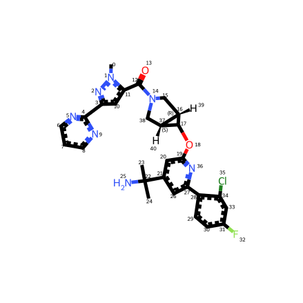 Cn1nc(-c2ncccn2)cc1C(=O)N1C[C@@H]2C(Oc3cc(C(C)(C)N)cc(-c4ccc(F)cc4Cl)n3)[C@@H]2C1